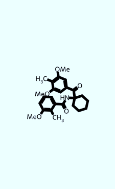 COc1cc(C(=O)C2(NC(=O)c3cccc(OC)c3C)CCCCC2)cc(OC)c1C